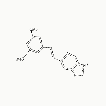 COc1cc(C=Cc2ccc3[nH]cnc3c2)cc(OC)c1